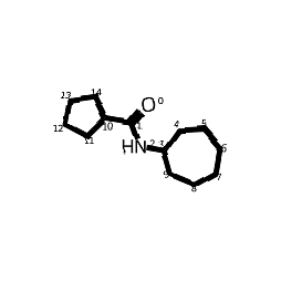 O=C(NC1CCCCCC1)C1CCCC1